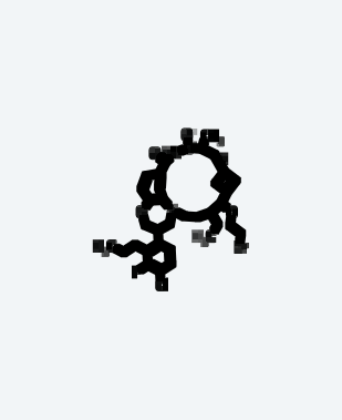 CCCc1c(C2COc3ccc4cc3N(CCC(CC)C(OCCBr)C3=C[C@@H](C3)CC(C)[S+]([O-])NC4=O)C2)ccc(Cl)c1F